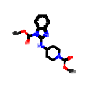 CC(C)(C)OC(=O)N1CCC(Nc2nc3ccccc3n2C(=O)OC(C)(C)C)CC1